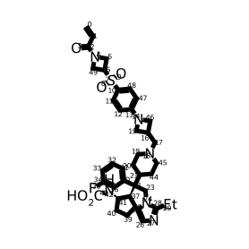 C=CC(=O)N1CC(S(=O)(=O)c2ccc(N3CC(CN4CCC(C(Cn5ccnc5CC)(c5cccc(F)c5)[C@H]5CCC[C@@H]5NC(=O)O)CC4)C3)cc2)C1